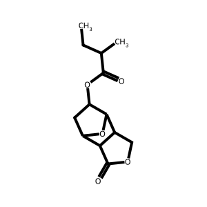 CCC(C)C(=O)OC1CC2OC1C1COC(=O)C21